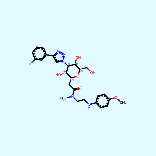 COc1ccc(NCCN(C)C(=O)C[C@@H]2O[C@H](CO)[C@H](O)[C@H](n3cc(-c4cccc(F)c4)nn3)[C@H]2O)cc1